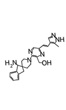 Cc1[nH]ncc1C=Cc1cnc(N2CCC3(CC2)Cc2ccccc2C3N)c(CO)n1